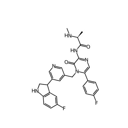 CN[C@@H](C)C(=O)Nc1ncc(-c2ccc(F)cc2)n(Cc2cncc(C3CNc4ccc(F)cc43)c2)c1=O